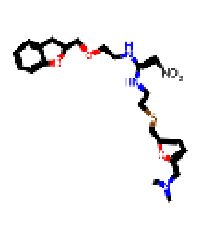 CN(C)Cc1ccc(CSCCNC(=C[N+](=O)[O-])NCCOCC2Cc3ccccc3O2)o1